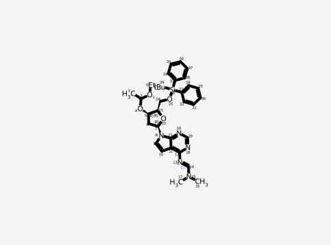 CCOC(C)O[C@@H]1C[C@H](n2ccc3c(/N=C/N(C)C)ncnc32)O[C@@H]1CO[Si](c1ccccc1)(c1ccccc1)C(C)(C)C